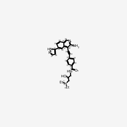 CCN(CC)CC(O)CNC(=O)c1ccc(C#Cc2c(N)ncc3ccc(-c4ccn[nH]4)cc23)cc1